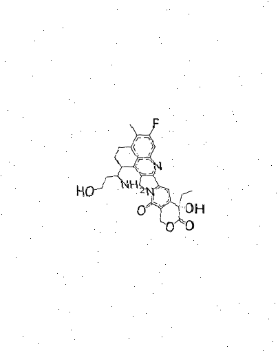 CC[C@@]1(O)C(=O)OCc2c1cc1n(c2=O)Cc2c-1nc1cc(F)c(C)c3c1c2[C@@H]([C@@H](N)CCO)CC3